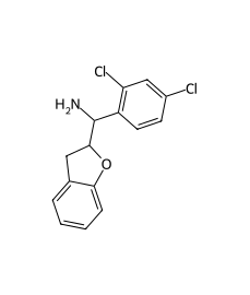 NC(c1ccc(Cl)cc1Cl)C1Cc2ccccc2O1